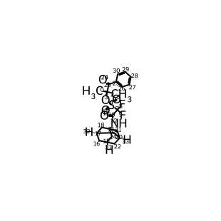 CC(C)(OS(=O)(=O)C(F)(F)C(=O)NC12C[C@H]3C[C@@H](C1)C[C@@H](C2)C3)C(=O)c1ccccc1